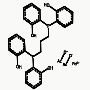 CC(=O)[O-].CC(=O)[O-].Oc1ccccc1P(CCCP(c1ccccc1O)c1ccccc1O)c1ccccc1O.[Pd+2]